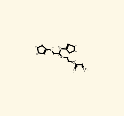 C=CC(=O)OCCOC(COC1=CCCC1)OC1=CCCC1